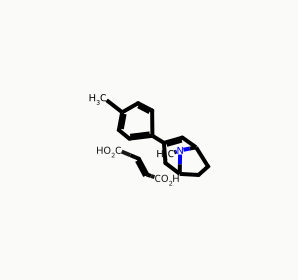 Cc1ccc(C2=CC3CCC(C2)N3C)cc1.O=C(O)C=CC(=O)O